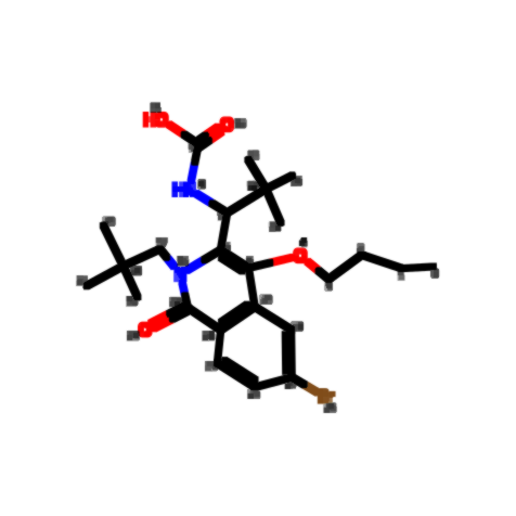 CCCCOc1c(C(NC(=O)O)C(C)(C)C)n(CC(C)(C)C)c(=O)c2ccc(Br)cc12